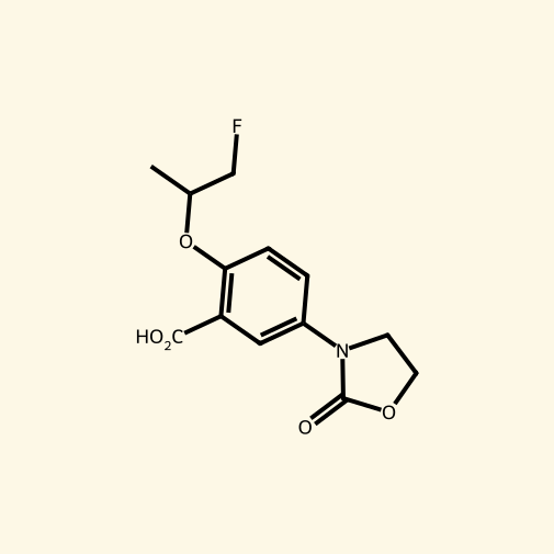 CC(CF)Oc1ccc(N2CCOC2=O)cc1C(=O)O